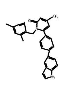 Cc1ccc(Cn2c(-c3ccc(-c4ccc5[nH]ccc5c4)cc3)cc(C(F)(F)F)cc2=O)c(C)c1